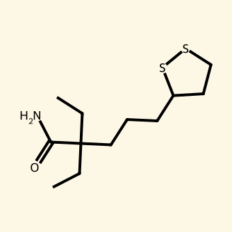 CCC(CC)(CCCC1CCSS1)C(N)=O